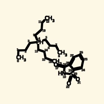 CCCC[PH](CCCC)(CCCC)CCCC.O=C1NS(=O)(=O)c2ccccc21